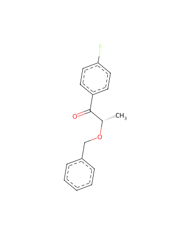 C[C@H](OCc1ccccc1)C(=O)c1ccc(F)cc1